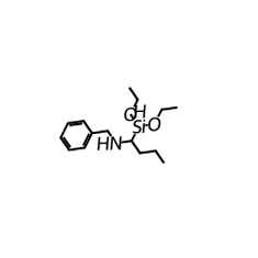 CCCC(NCc1ccccc1)[SiH](OCC)OCC